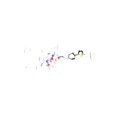 Cc1ccc(C2=CCC(CCC(=O)N[C@@H](CCC(=O)O)C(=O)N[C@@H](CCC(=O)O)C(N)=O)C=C2)s1